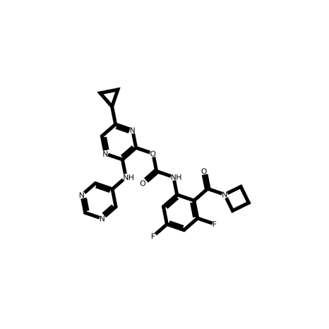 O=C(Nc1cc(F)cc(F)c1C(=O)N1CCC1)Oc1nc(C2CC2)cnc1Nc1cncnc1